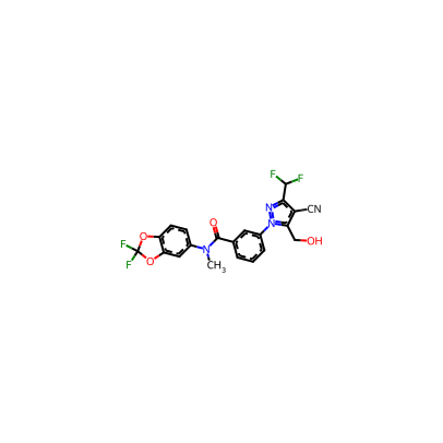 CN(C(=O)c1cccc(-n2nc(C(F)F)c(C#N)c2CO)c1)c1ccc2c(c1)OC(F)(F)O2